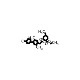 CCOC(=O)C1(OC(=O)Cc2cc(C)c(-c3ccc(Cl)cc3)cc2C)CCC(CC)CC1